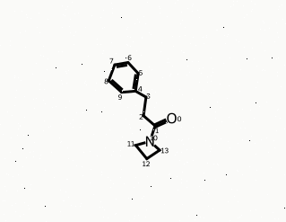 O=C(CCc1ccccc1)N1CCC1